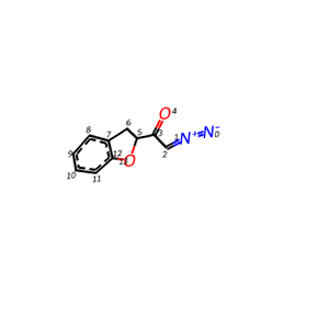 [N-]=[N+]=CC(=O)C1Cc2ccccc2O1